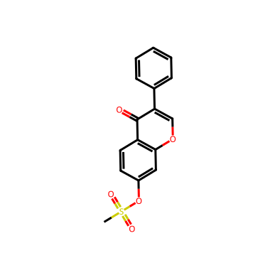 CS(=O)(=O)Oc1ccc2c(=O)c(-c3ccccc3)coc2c1